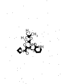 CC(C)(C)OC(=O)N[C@@H](C[C@@H]1CCCNC1=O)C(=O)C(=O)N1CCC1